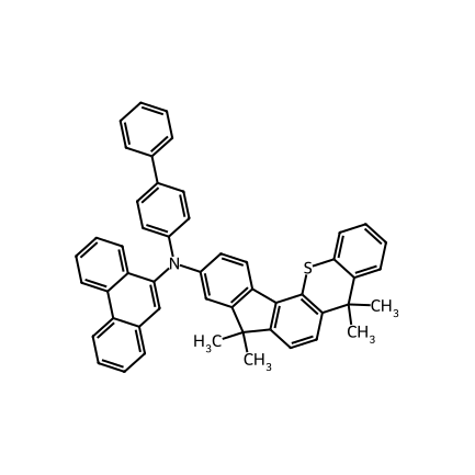 CC1(C)c2ccccc2Sc2c1ccc1c2-c2ccc(N(c3ccc(-c4ccccc4)cc3)c3cc4ccccc4c4ccccc34)cc2C1(C)C